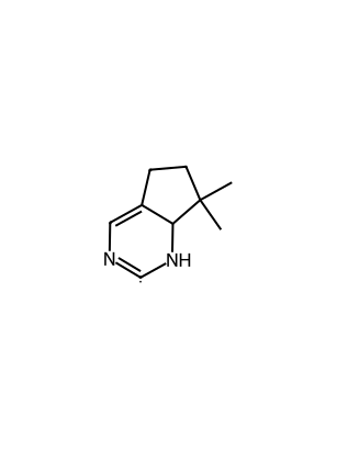 CC1(C)CCC2=CN=[C]NC21